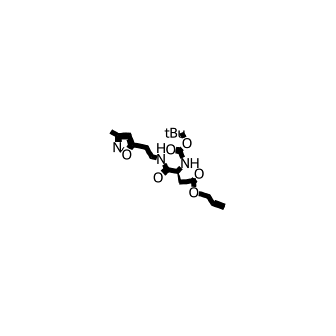 C=CCOC(=O)C[C@H](NC(=O)OC(C)(C)C)C(=O)NCCc1cc(C)no1